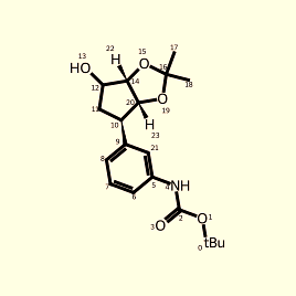 CC(C)(C)OC(=O)Nc1cccc([C@H]2CC(O)[C@@H]3OC(C)(C)O[C@H]23)c1